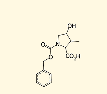 CC1C(O)CN(C(=O)OCc2ccccc2)C1C(=O)O